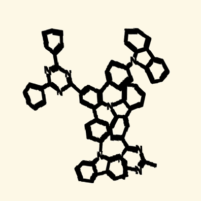 Cc1nc(C)nc(-c2ccc3c(c2)c2ccccc2n3-c2c(-c3ccc(-n4c5ccccc5c5ccccc54)cc3)cc(-c3nc(-c4ccccc4)nc(-c4ccccc4)n3)cc2-c2ccc(-n3c4ccccc4c4ccccc43)cc2)n1